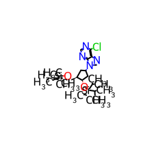 CC(C)[Si](O[C@H]1C[C@H](n2cnc3c(Cl)ncnc32)C[C@@H]1CO[Si](C)(C)C(C)(C)C)(C(C)C)C(C)C